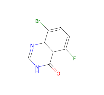 O=C1NC=NC2C(Br)=CC=C(F)C12